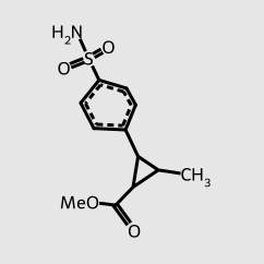 COC(=O)C1C(C)C1c1ccc(S(N)(=O)=O)cc1